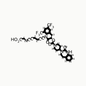 O=C(O)CN=C=C=CC=C=C=NC(=O)[C@@H](Cc1cc(C(F)(F)F)cc(C(F)(F)F)c1)OC(=O)N1CCC(N2CCc3ccccc3NC2=O)CC1